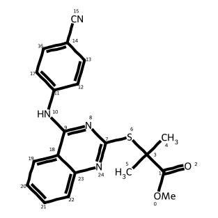 COC(=O)C(C)(C)Sc1nc(Nc2ccc(C#N)cc2)c2ccccc2n1